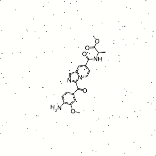 COC(=O)[C@@H](C)NC(=O)c1ccn2c(C(=O)c3ccc(N)c(OC)c3)ncc2c1